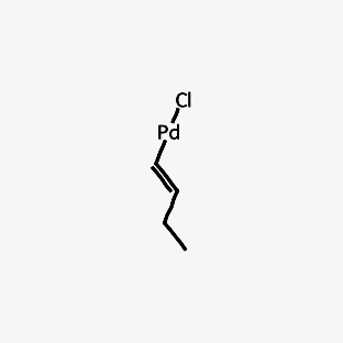 CCC=[CH][Pd][Cl]